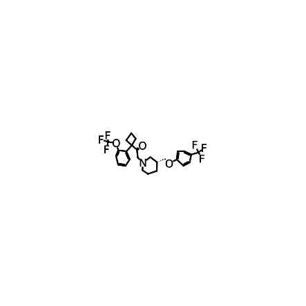 O=C(CN1CCC[C@@H](COc2ccc(C(F)(F)F)cc2)C1)C1(c2ccccc2OC(F)(F)F)CCC1